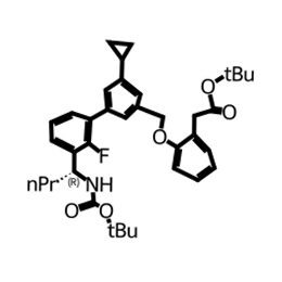 CCC[C@@H](NC(=O)OC(C)(C)C)c1cccc(-c2cc(COc3ccccc3CC(=O)OC(C)(C)C)cc(C3CC3)c2)c1F